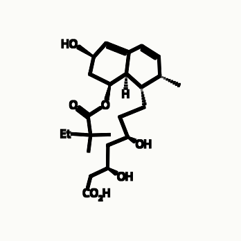 CCC(C)(C)C(=O)O[C@H]1C[C@@H](O)C=C2C=C[C@H](C)[C@H](CC[C@@H](O)C[C@@H](O)CC(=O)O)[C@H]21